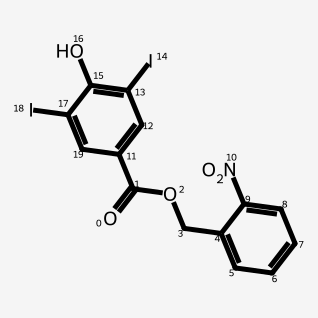 O=C(OCc1ccccc1[N+](=O)[O-])c1cc(I)c(O)c(I)c1